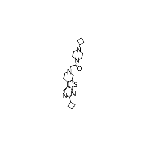 O=C(CN1CCc2c(sc3nc(C4CCC4)ncc23)C1)N1CCN(C2CCC2)CC1